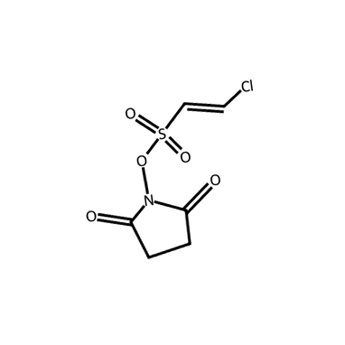 O=C1CCC(=O)N1OS(=O)(=O)C=CCl